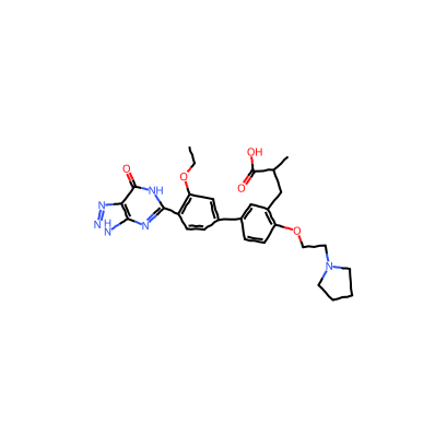 CCOc1cc(-c2ccc(OCCN3CCCC3)c(CC(C)C(=O)O)c2)ccc1-c1nc2[nH]nnc2c(=O)[nH]1